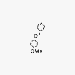 COc1ccc(OCc2cc[c]cc2)cc1